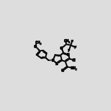 COc1ccc(Cn2cc3c(OC(C)C(F)(F)F)nc(Cl)c(C(N)=O)c3n2)cc1